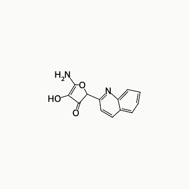 NC1=C(O)C(=O)C(c2ccc3ccccc3n2)O1